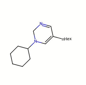 CCCCCCC1=CN(C2CCCCC2)CN=C1